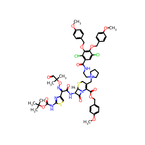 COc1ccc(COC(=O)C2=C(C[N+]3(CCNC(=O)c4cc(Cl)c(OCc5ccc(OC)cc5)c(OCc5ccc(OC)cc5)c4Cl)CCCC3)CS[C@@H]3[C@H](NC(=O)/C(=N\OC(C)(C)C=O)c4csc(NC(=O)OC(C)(C)C)n4)C(=O)N23)cc1